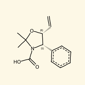 C=C[C@H]1OC(C)(C)N(C(=O)O)[C@H]1c1ccccc1